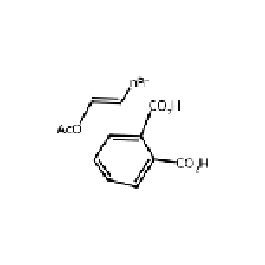 CCCC=COC(C)=O.O=C(O)c1ccccc1C(=O)O